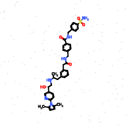 Cc1ccc(C)n1-c1ccc([C@H](O)CNC(C)Cc2cccc(CC(=O)NCc3ccc(C(=O)NCc4ccc(S(N)(=O)=O)cc4)cc3)c2)cn1